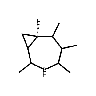 CC1BC(C)C2C[C@H]2C(C)C1C